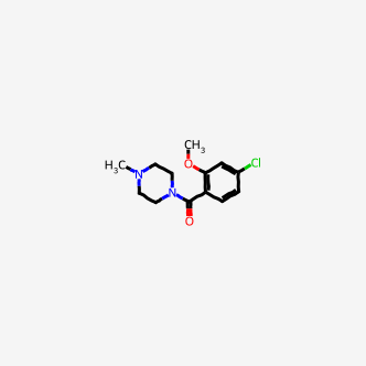 COc1cc(Cl)ccc1C(=O)N1CCN(C)CC1